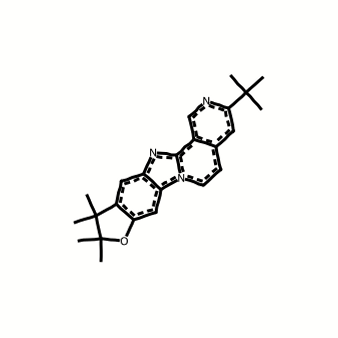 CC(C)(C)c1cc2ccn3c4cc5c(cc4nc3c2cn1)C(C)(C)C(C)(C)O5